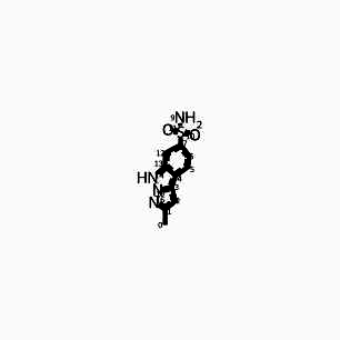 Cc1cc2c3ccc(S(N)(=O)=O)cc3[nH]n2n1